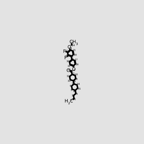 C=CCCC1CCC(C2CCC(C(=O)Oc3ccc(-c4ccc(OCC)c(F)c4F)cc3)CC2)CC1